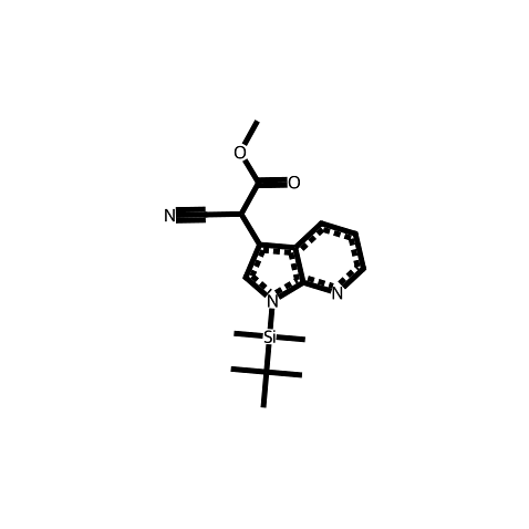 COC(=O)C(C#N)c1cn([Si](C)(C)C(C)(C)C)c2ncccc12